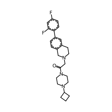 O=C(CN1CCc2cc(-c3ccc(F)cc3F)ccc2C1)N1CCN(C2CCC2)CC1